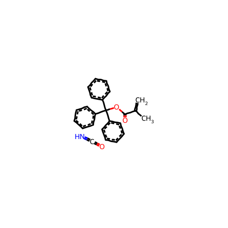 C=C(C)C(=O)OC(c1ccccc1)(c1ccccc1)c1ccccc1.N=C=O